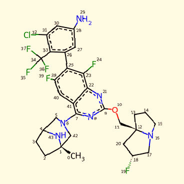 C[C@]12CCC(CN(c3nc(OC[C@@]45CCCN4C[C@H](F)C5)nc4c(F)c(-c5cc(N)cc(Cl)c5C(F)(F)F)c(F)cc34)C1)N2